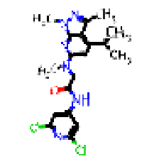 Cc1nn(C)c2nc(N(C)CC(=O)Nc3cc(Cl)nc(Cl)c3)cc(C(C)C)c12